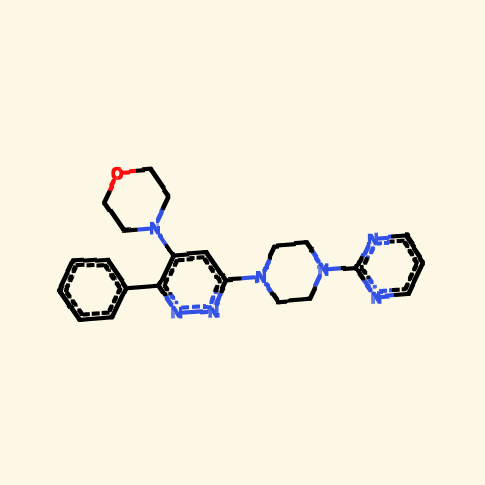 c1ccc(-c2nnc(N3CCN(c4ncccn4)CC3)cc2N2CCOCC2)cc1